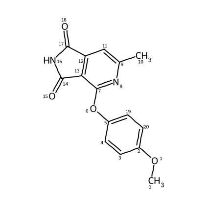 COc1ccc(Oc2nc(C)cc3c2C(=O)NC3=O)cc1